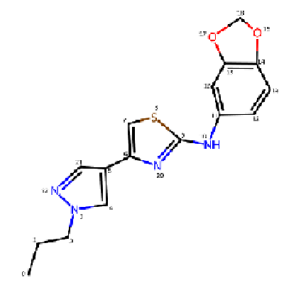 CCCn1cc(-c2csc(Nc3ccc4c(c3)OCO4)n2)cn1